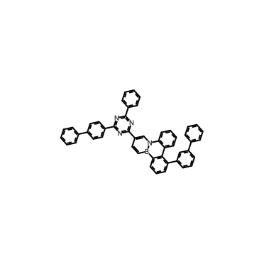 C1=CC(c2nc(-c3ccccc3)nc(-c3ccc(-c4ccccc4)cc3)n2)=CN2B1c1cccc(-c3cccc(-c4ccccc4)c3)c1-c1ccccc12